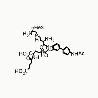 CCCCCC[C@H](N)CPCC[C@H](N)C(=O)N[C@H](Cc1cccc(-c2ccc(NC(C)=O)cc2)c1)C(=O)NCC[C@@H](NC(=O)CCCC(=O)O)C(=O)O